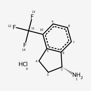 Cl.N[C@@H]1CCc2c1cccc2C(F)(F)F